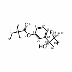 CCC(C)(C)C(=O)Oc1cccc(C(C)(O)C(F)(F)F)c1